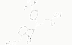 CCc1cccc2c(C(CCC(=O)O)c3ccc(C(F)(F)F)cc3)c[nH]c12